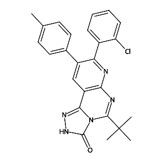 Cc1ccc(-c2cc3c(nc2-c2ccccc2Cl)nc(C(C)(C)C)n2c(=O)[nH]nc32)cc1